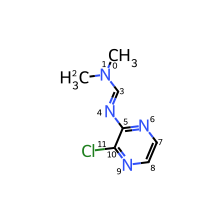 CN(C)C=Nc1nccnc1Cl